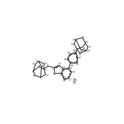 [CH]1C(CC23CC4CC(CC(C4)C2)C3)=Cc2c1cccc2-c1ccc(C23CC4CC(CC(C4)C2)C3)cc1.[Zr]